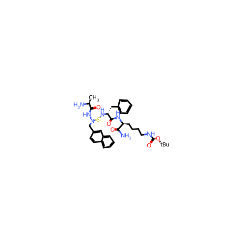 C[C@H](N)C(=O)NN(Cc1ccc2ccccc2c1)SN[C@H](Cc1ccccc1)C(=O)N[C@@H](CCCCNC(=O)OC(C)(C)C)C(N)=O